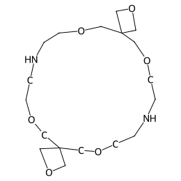 C1COCC2(COCCNCCOCC3(COCCN1)COC3)COC2